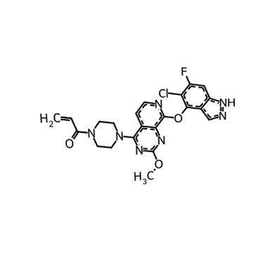 C=CC(=O)N1CCN(c2nc(OC)nc3c(Oc4c(Cl)c(F)cc5[nH]ncc45)nccc23)CC1